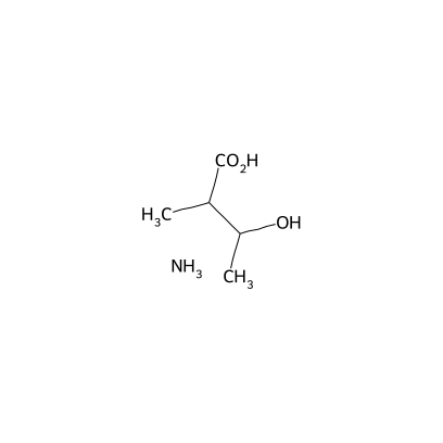 CC(O)C(C)C(=O)O.N